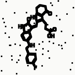 O=C(O)CCc1c(C=C2C(=O)Nc3ccc(NCc4ccc(F)cc4)cc32)[nH]c2c1C(=O)CCC2